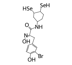 O=C(NC1CCC([SeH])C([SeH])C1)/C(Cc1ccc(O)c(Br)c1)=N/O